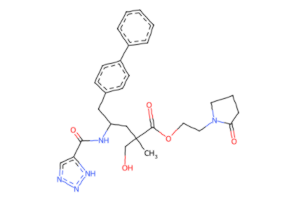 CC(CO)(CC(Cc1ccc(-c2ccccc2)cc1)NC(=O)c1cnn[nH]1)C(=O)OCCN1CCCC1=O